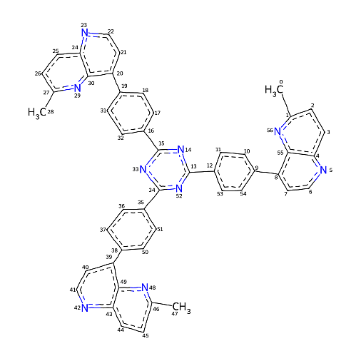 Cc1ccc2nccc(-c3ccc(-c4nc(-c5ccc(-c6ccnc7ccc(C)nc67)cc5)nc(-c5ccc(-c6ccnc7ccc(C)nc67)cc5)n4)cc3)c2n1